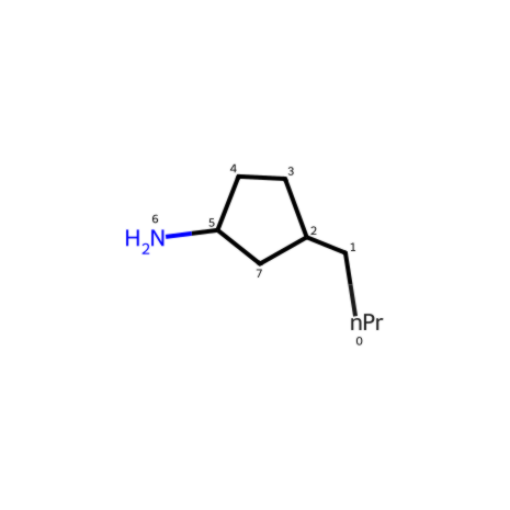 CCCCC1CCC(N)C1